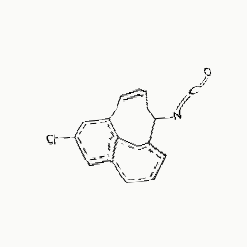 O=C=NC1C=Cc2cc(Cl)cc3cccc1c23